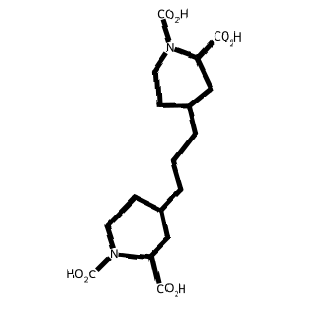 O=C(O)C1CC(CCCC2CCN(C(=O)O)C(C(=O)O)C2)CCN1C(=O)O